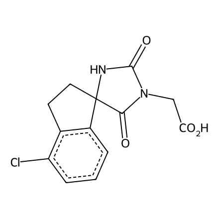 O=C(O)CN1C(=O)NC2(CCc3c(Cl)cccc32)C1=O